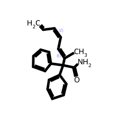 C=C/C=C\C=C(/C)C(C(N)=O)(c1ccccc1)c1ccccc1